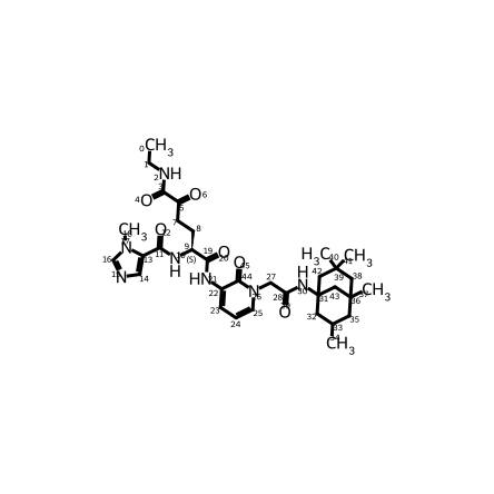 CCNC(=O)C(=O)CC[C@H](NC(=O)c1cncn1C)C(=O)Nc1cccn(CC(=O)NC23CC(C)CC(C)(CC(C)(C)C2)C3)c1=O